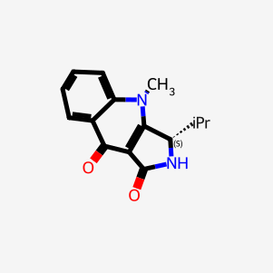 CC(C)[C@@H]1NC(=O)c2c1n(C)c1ccccc1c2=O